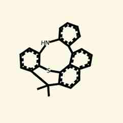 CC1(C)c2cccc3c2Sc2c1ccc1cccc(c21)-c1ccccc1N3